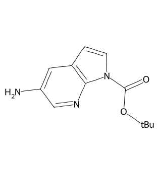 CC(C)(C)OC(=O)n1ccc2cc(N)cnc21